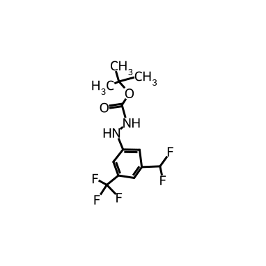 CC(C)(C)OC(=O)NNc1cc(C(F)F)cc(C(F)(F)F)c1